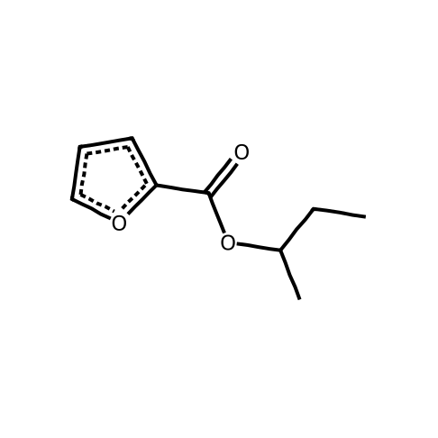 CCC(C)OC(=O)c1ccco1